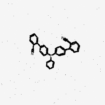 N#Cc1ccccc1-c1ccc(P(c2ccccc2)c2ccc(-c3ccccc3C#N)cc2)cc1